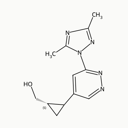 Cc1nc(C)n(-c2cc(C3C[C@@H]3CO)cnn2)n1